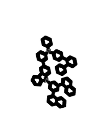 c1ccc(-c2ccccc2-c2ccc(N(c3ccccc3)c3cccc(-c4ccc5c(c4)c4ccccc4n5-c4cc(-c5cccc6ccccc56)cc(-c5cccc6ccccc56)c4)c3)cc2)cc1